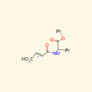 CC(C)OC(=O)C(NC(=O)/C=C/C(=O)O)C(C)C